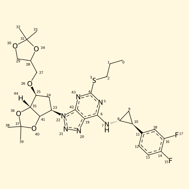 CCCSc1nc(N[C@@H]2C[C@H]2c2ccc(F)c(F)c2)c2nnn([C@@H]3C[C@H](OCC4COC(C)(C)O4)[C@H]4OC(C)(C)OC34)c2n1